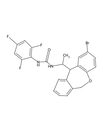 CC(NC(=O)Nc1c(F)cc(F)cc1F)C1c2ccccc2COc2ccc(Br)cc21